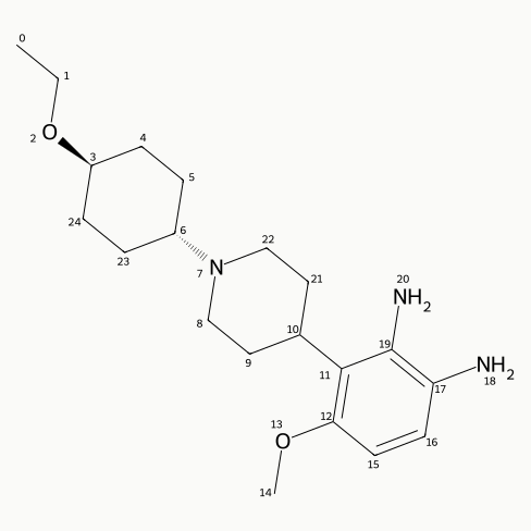 CCO[C@H]1CC[C@H](N2CCC(c3c(OC)ccc(N)c3N)CC2)CC1